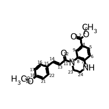 COC(=O)c1ccc2c(c1)N(C(=O)C=Cc1ccc(OC)cc1)CCN2